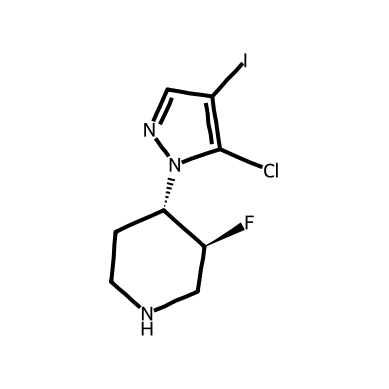 F[C@H]1CNCC[C@@H]1n1ncc(I)c1Cl